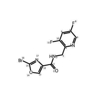 O=C(NCc1ncc(F)cc1F)c1coc(Br)n1